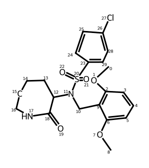 COc1cccc(OC)c1CN(C1CCCCNC1=O)S(=O)(=O)c1ccc(Cl)cc1